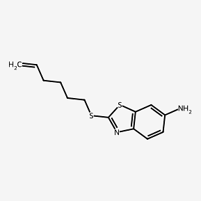 C=CCCCCSc1nc2ccc(N)cc2s1